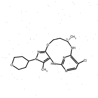 Cc1c2c(nn1C1CCOCC1)OCC[C@H](C)Nc1nc(ncc1Cl)N2